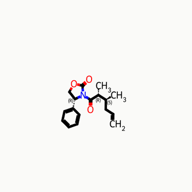 C=CC[C@H](C)[C@@H](C)C(=O)N1C(=O)OC[C@H]1c1ccccc1